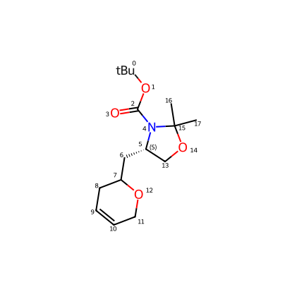 CC(C)(C)OC(=O)N1[C@@H](CC2CC=CCO2)COC1(C)C